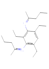 CCCC(C)=Nc1c(CC)cc(CC)c(N=C(C)CCC)c1CC